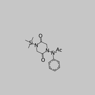 CC(=O)[N+](c1ccccc1)N1CC(=O)N([Si](C)(C)C)CC1=O